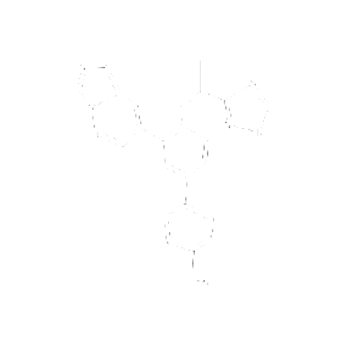 COc1ccc(-c2ccc(OC(C)c3nc[nH]n3)c(-c3cnn4cnnc4c3)c2)cc1